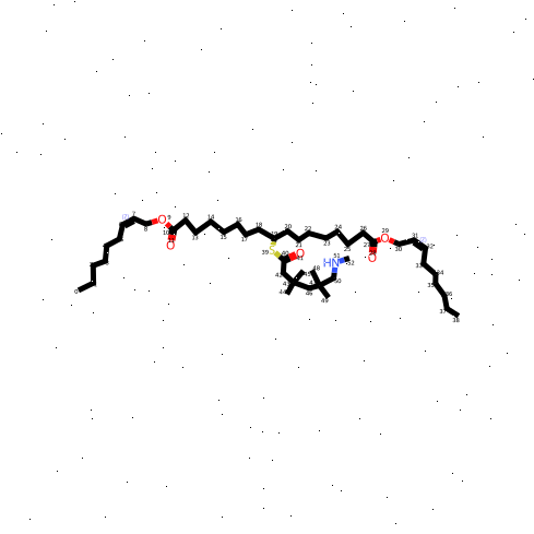 CCCCCC/C=C\COC(=O)CCCCCCCC(CCCCCCCC(=O)OC/C=C\CCCCCC)SC(=O)CC(C)(C)CC(C)(C)CNC